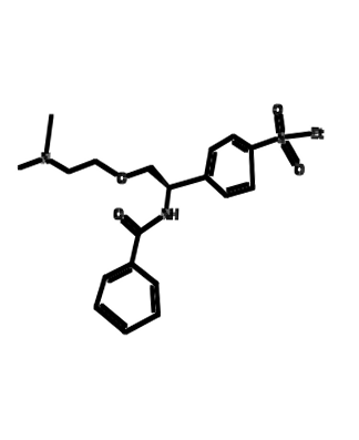 CCS(=O)(=O)c1ccc([C@H](COCCN(C)C)NC(=O)c2ccccc2)cc1